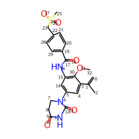 C=C(C)c1cc(N2CCC(=O)NC2=O)cc(NC(=O)c2ccc(CS(C)(=O)=O)cc2)c1OC